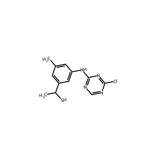 Cc1cc(Nc2ncnc(Cl)n2)cc(C(C)S)c1